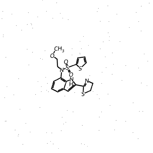 COCCN(c1cccc2cc(C3=NCCS3)[nH]c12)S(=O)(=O)c1cccs1